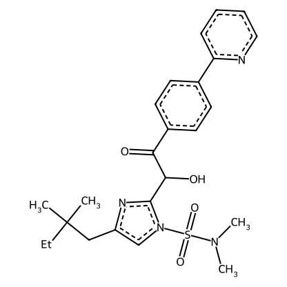 CCC(C)(C)Cc1cn(S(=O)(=O)N(C)C)c(C(O)C(=O)c2ccc(-c3ccccn3)cc2)n1